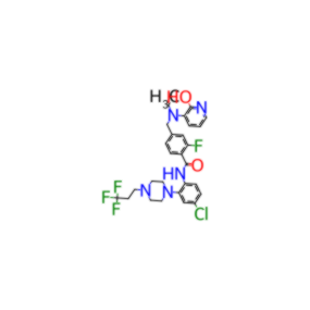 CCN(Cc1ccc(C(=O)Nc2ccc(Cl)cc2N2CCN(CCC(F)(F)F)CC2)c(F)c1)c1cccnc1O